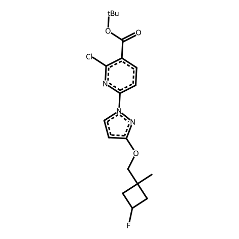 CC1(COc2ccn(-c3ccc(C(=O)OC(C)(C)C)c(Cl)n3)n2)CC(F)C1